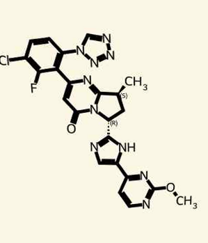 COc1nccc(-c2cnc([C@H]3C[C@H](C)c4nc(-c5c(-n6cnnn6)ccc(Cl)c5F)cc(=O)n43)[nH]2)n1